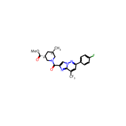 COC(=O)[C@@H]1C[C@@H](C)CN(C(=O)c2cn3nc(-c4ccc(F)cc4)cc(C(F)(F)F)c3n2)C1